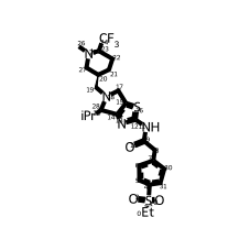 CCS(=O)(=O)c1ccc(CC(=O)Nc2nc3c(s2)CN(C[C@@H]2CCC(C(F)(F)F)N(C)C2)C3C(C)C)cc1